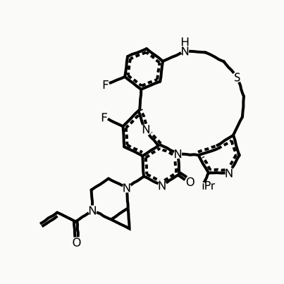 C=CC(=O)N1CCN(c2nc(=O)n3c4nc(c(F)cc24)-c2cc(ccc2F)NCCSCCc2cnc(C(C)C)c-3c2)C2CC21